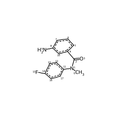 CN(C(=O)c1cccc(N)c1)c1ccc(F)cc1